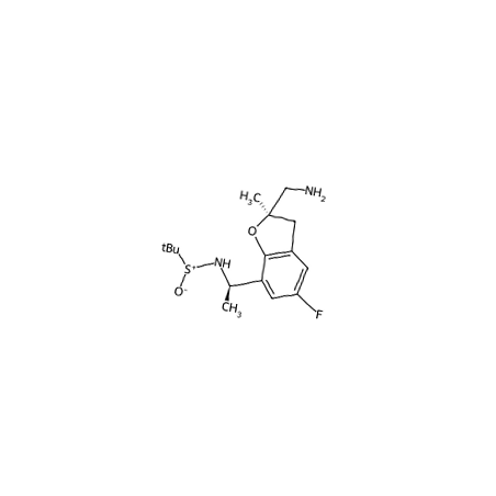 C[C@@H](N[S+]([O-])C(C)(C)C)c1cc(F)cc2c1O[C@@](C)(CN)C2